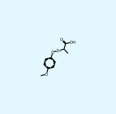 COc1ccc([O][Zn][CH](C)C(=O)O)cc1